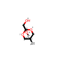 CCC12COC(CO)(OC1)OC2